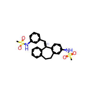 CS(=O)(=O)Nc1cccc(/C=C2\c3ccccc3CCc3cc(NS(C)(=O)=O)ccc32)c1